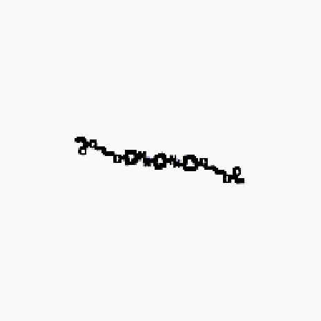 C=CC(=O)OCCCCOc1ccc(/N=N/c2ccc(/N=N/c3ccc(OCCCCOC(=O)C=C)cc3)cc2)cc1